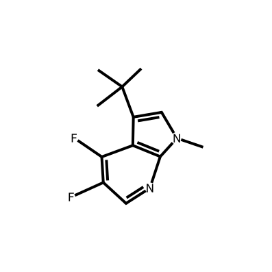 Cn1cc(C(C)(C)C)c2c(F)c(F)cnc21